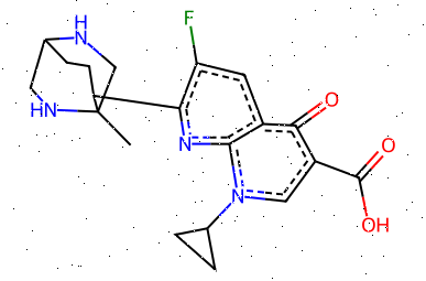 CC12CNC(CCC1c1nc3c(cc1F)c(=O)c(C(=O)O)cn3C1CC1)CN2